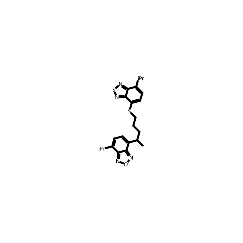 CC(C)c1ccc(SCCCC(C)c2ccc(C(C)C)c3nonc23)c2nsnc12